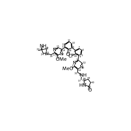 COc1nc(-c2cccc(-c3cccc(-c4cnc(CN5CC(C)(N)C5)c(OC)n4)c3Cl)c2Cl)cnc1CNC[C@@H]1CCC(=O)N1